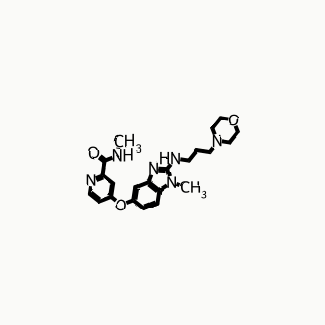 CNC(=O)c1cc(Oc2ccc3c(c2)nc(NCCCN2CCOCC2)n3C)ccn1